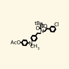 CC(=O)Oc1ccc(N(C)c2ccc(CCN(C[C@@H](O)c3cccc(Cl)c3)C(=O)OC(C)(C)C)cc2)cc1